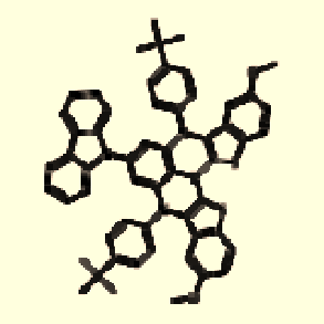 COc1ccc2sc3c(c2c1)N(c1ccc(C(C)(C)C)cc1)c1cc(-n2c4ccccc4c4ccccc42)cc2c1B3c1sc3ccc(OC)cc3c1N2c1ccc(C(C)(C)C)cc1